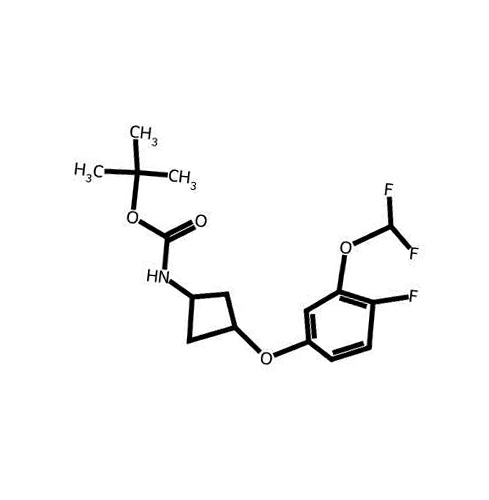 CC(C)(C)OC(=O)NC1CC(Oc2ccc(F)c(OC(F)F)c2)C1